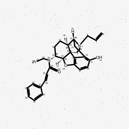 C=CCN1CC[C@@]23c4c5ccc(O)c4C[C@@H]1[C@@H]2CC[C@@H](N(CC(C)C)C(=O)C=Cc1ccccc1)[C@@H]3O5